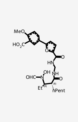 CCCCC[C@@H](C(=O)NCNC(=O)c1ccc(-c2ccc(OC)c(C(=O)O)c2)o1)[C@@H](CC)N(O)C=O